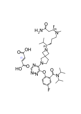 CC(C)[C@@H](CCCN(C)[C@H](C)CC(N)=O)N1CC2(CCN(c3ncnnc3Oc3ccc(F)cc3C(=O)N(C(C)C)C(C)C)C2)C1.O=C(O)/C=C/C(=O)O